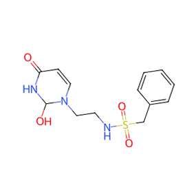 O=C1C=CN(CCNS(=O)(=O)Cc2ccccc2)C(O)N1